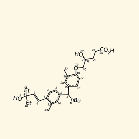 CCCCC(c1ccc(C=CC(O)(CC)CC)c(C)c1)c1ccc(OC[C@@H](O)CCC(=O)O)c(C)c1